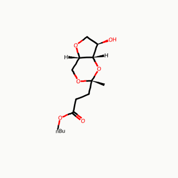 CCCCOC(=O)CC[C@]1(C)OC[C@@H]2OC[C@@H](O)[C@@H]2O1